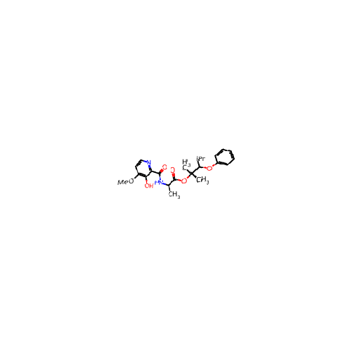 COc1ccnc(C(=O)N[C@H](C)C(=O)OC(C)(C)C(Oc2ccccc2)C(C)C)c1O